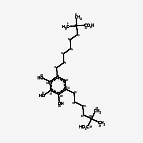 CC(C)(CCCCCCc1cc(CCCCC(C)(C)C(=O)O)c(O)c(O)c1O)C(=O)O